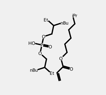 C=CC(=O)OCCCCCC(C)C.CCCCC(CC)COP(=O)(O)OCC(CC)CCCC